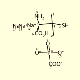 CC(C)(S)[C@H](N)C(=O)O.O=C([O-])P(=O)([O-])[O-].[Na+].[Na+].[Na+]